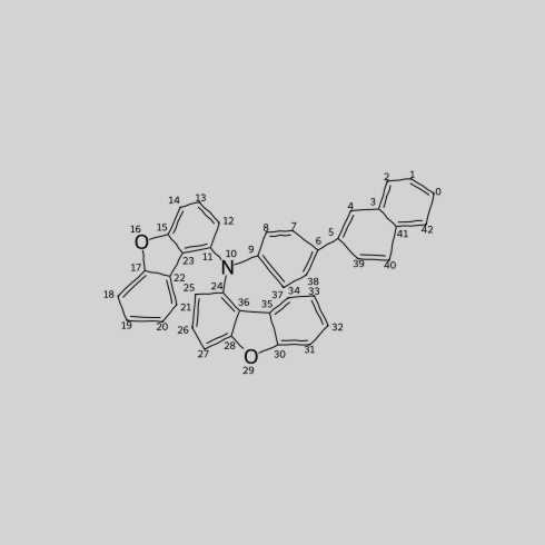 c1ccc2cc(-c3ccc(N(c4cccc5oc6ccccc6c45)c4cccc5oc6ccccc6c45)cc3)ccc2c1